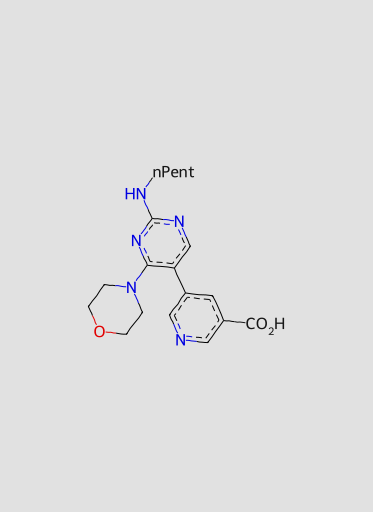 CCCCCNc1ncc(-c2cncc(C(=O)O)c2)c(N2CCOCC2)n1